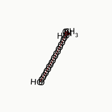 CN1C(=O)C[C@H](C(=O)NCCOCCOCCOCCOCCOCCOCCOCCOCCOCCOCCOCCOCCOCCOCCOCCOCCOCCOCCOCCOCCC(=O)O)[C@H]1c1cccnc1